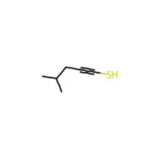 CC(C)CC#CS